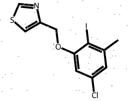 Cc1cc(Cl)cc(OCc2cscn2)c1I